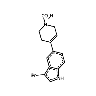 CC(C)c1c[nH]c2ccc(C3=CCN(C(=O)O)CC3)cc12